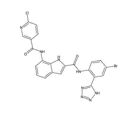 O=C(Nc1cccc2cc(C(=O)Nc3ccc(Br)cc3-c3nnn[nH]3)[nH]c12)c1ccc(Cl)nc1